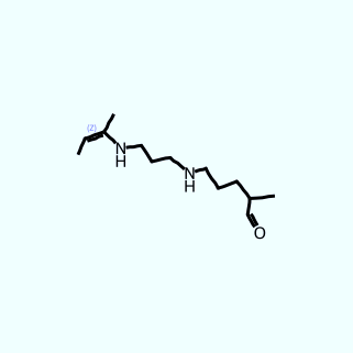 C/C=C(/C)NCCCNCCCC(C)C=O